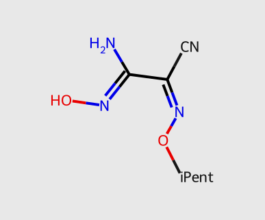 CCCC(C)ON=C(C#N)C(N)=NO